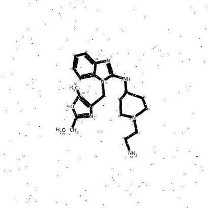 Cc1nc(Cn2c(NC3CCN(CCN)CC3)nc3ccccc32)c(C)o1.O